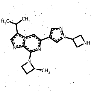 CC(C)c1cnc2c(N3CC[C@@H]3C)nc(-c3cnn(C4CNC4)c3)cn12